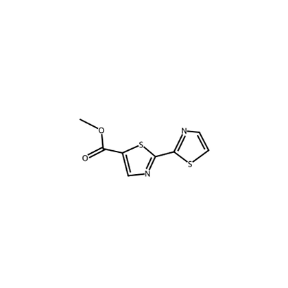 COC(=O)c1cnc(-c2nccs2)s1